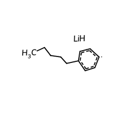 CCCCCc1cc[c]cc1.[LiH]